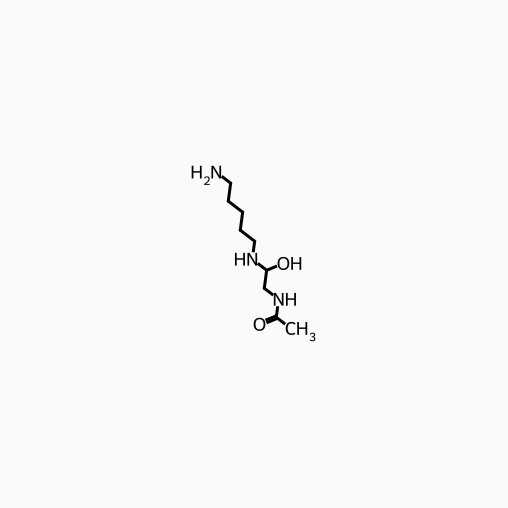 CC(=O)NCC(O)NCCCCCN